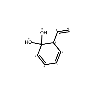 C=CC1C=CC=CC1(O)O